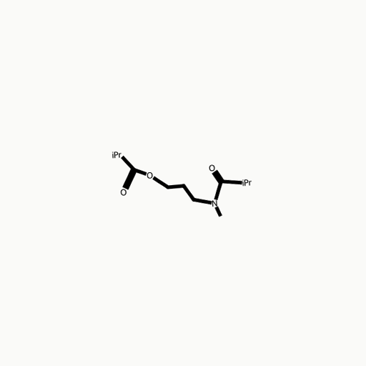 CC(C)C(=O)OCCCN(C)C(=O)C(C)C